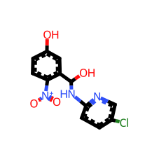 O=[N+]([O-])c1ccc(O)cc1C(O)Nc1ccc(Cl)cn1